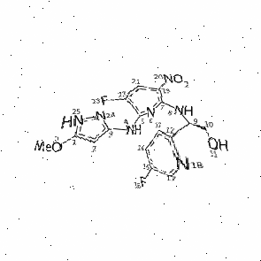 COc1cc(Nc2nc(N[C@@H](CO)c3ccc(F)cn3)c([N+](=O)[O-])cc2F)n[nH]1